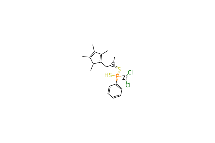 CC1=C(C)C(C)C(C[Si](C)=S=[P](S)(c2ccccc2)[Zr]([Cl])[Cl])=C1C